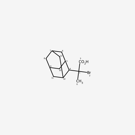 CC(Br)(C(=O)O)C1C2CC3CC(C2)CC1C3